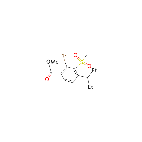 CCC(CC)c1ccc(C(=O)OC)c(Br)c1S(C)(=O)=O